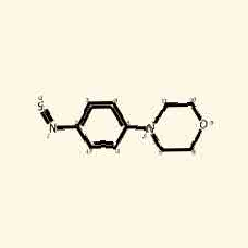 S=NC1=C=C=C(N2CCOCC2)C=C1